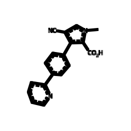 Cn1cc(C#N)c(-c2ccc(-c3ccccn3)cc2)c1C(=O)O